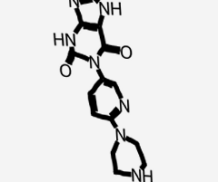 O=c1[nH]c2nc[nH]c2c(=O)n1-c1ccc(N2CCNCC2)nc1